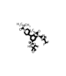 CN(C)C(=O)N1CC=C(c2cc(S(=O)(=O)NC3(CF)COC3)cc3c2n(C)c(=O)n3-c2nnc(C(F)F)s2)CC1